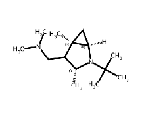 C[C@@H]1C(CN(C)C)[C@@]2(C)C[C@H]2N1C(C)(C)C